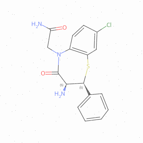 NC(=O)CN1C(=O)[C@H](N)[C@H](c2ccccc2)Sc2cc(Cl)ccc21